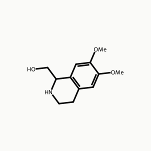 COc1cc2c(cc1OC)C(CO)NCC2